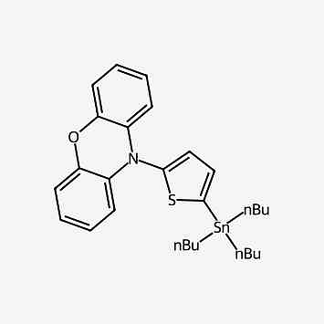 CCC[CH2][Sn]([CH2]CCC)([CH2]CCC)[c]1ccc(N2c3ccccc3Oc3ccccc32)s1